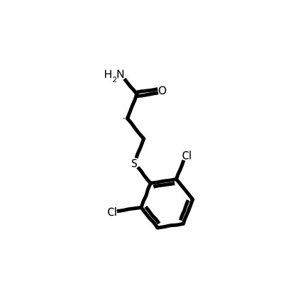 NC(=O)[CH]CSc1c(Cl)cccc1Cl